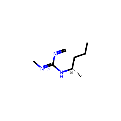 C=N/C(=N\C)N[C@@H](C)CCC